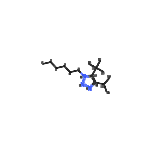 CCCCCCn1nnc(C(C)C)c1C(C)(C)C